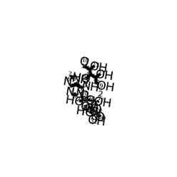 Nc1ncnc2nc[nH]c12.O=CC(O)C(O)C(O)CO.O=P(O)(O)OP(=O)(O)OP(=O)(O)O